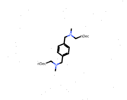 CCCCCCCCCCCN(C)Cc1ccc(CN(C)CCCCCCCCCCC)cc1